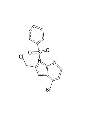 O=S(=O)(c1ccccc1)n1c(CCl)cc2c(Br)ccnc21